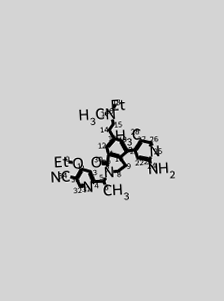 CCOc1cc(C(C)N2CCc3c(cc(CCN(C)CC)cc3-c3cc(N)ncc3C)C2=O)ncc1C#N